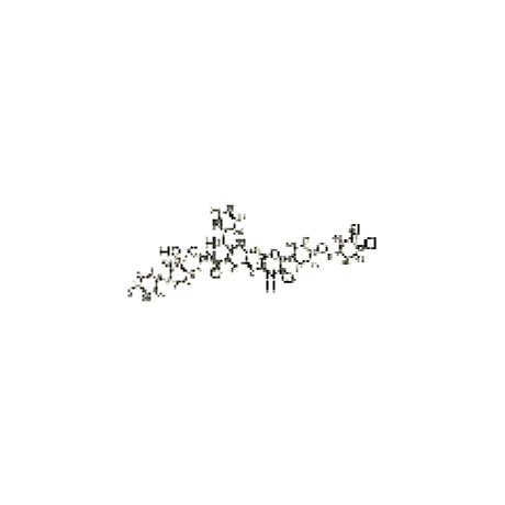 Cc1ccc(-c2ccc(CC(NC(=O)C3Cc4cc5c(cc4CN3Cc3ccccn3)OC(c3ccc(OCc4ccc(Cl)c(Cl)c4)cc3)C(=O)N5)C(=O)O)cc2)cc1